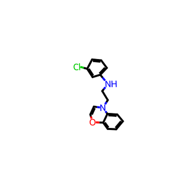 Clc1cccc(NCCN2C=COc3ccccc32)c1